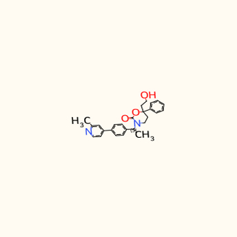 Cc1cc(-c2ccc([C@H](C)N3CCC(CCO)(c4ccccc4)OC3=O)cc2)ccn1